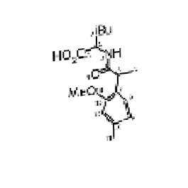 CCC(C)C(NC(=O)C(C)c1ccc(C)cc1OC)C(=O)O